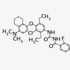 CCc1cc(NC(=O)NC(=O)c2ccccc2F)c(CC)c(Cl)c1Oc1ccc(N(C)C)c2c1CCCC2